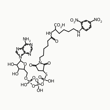 Nc1ncnc2c1ncn2C1OC(COP(=O)(O)OP(=O)(O)OP(=O)(O)SC2CC(=O)N(CCCCCC(=O)NC(CCCCNc3ccc([N+](=O)[O-])cc3[N+](=O)[O-])C(=O)O)C2=O)C(O)C1O